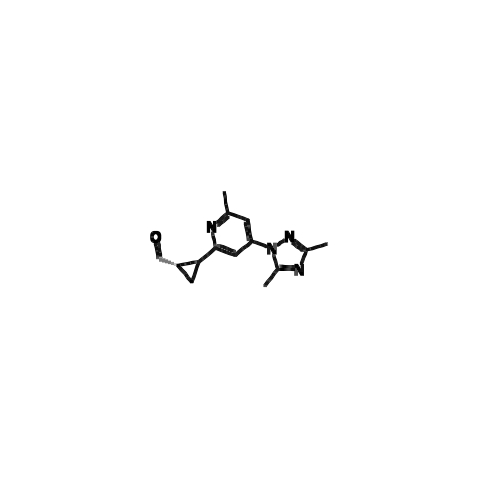 Cc1cc(-n2nc(C)nc2C)cc(C2C[C@@H]2C=O)n1